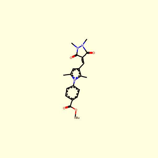 CCCCOC(=O)c1ccc(-n2c(C)cc(C=C3C(=O)N(C)N(C)C3=O)c2C)cc1